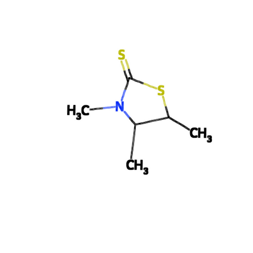 CC1SC(=S)N(C)C1C